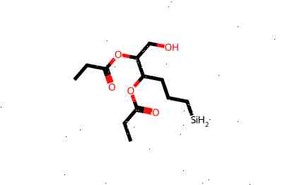 CCC(=O)OC(CO)C(CCC[SiH2])OC(=O)CC